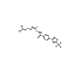 C/C(CNC(=O)c1ccc(-c2noc(C(F)(F)F)n2)cc1)=N/OCC=C(Cl)Cl